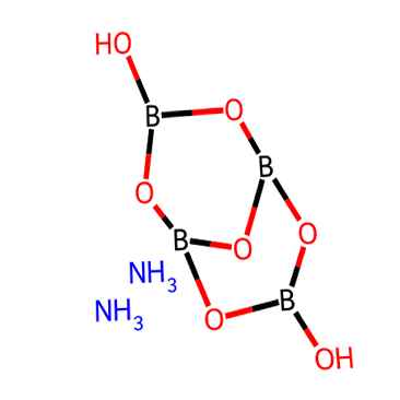 N.N.OB1OB2OB(O)OB(O1)O2